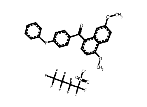 COc1ccc2c(OC)ccc(C(=O)c3ccc([I+]c4ccccc4)cc3)c2c1.O=S(=O)([O-])C(F)(F)C(F)(F)C(F)(F)C(F)(F)F